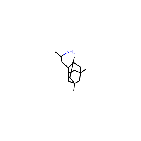 CC(N)CC1C2CC3(C)CC(C)(C2)CC1(C)C3